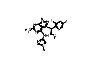 COCC(c1ncc(F)cc1F)c1nn(C)c2nc(N)nc(Nc3cn(C)cn3)c12